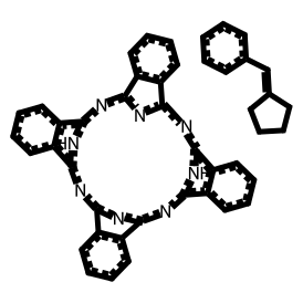 C(=C1CCCC1)c1ccccc1.c1ccc2c(c1)-c1nc-2nc2[nH]c(nc3nc(nc4[nH]c(n1)c1ccccc41)-c1ccccc1-3)c1ccccc21